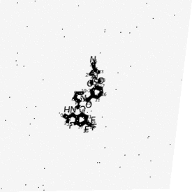 C=C(C)[C@@H](NC(=O)[C@H]1CCCN1C(=O)c1cccc(S(=O)(=O)N2CC(C#N)C2)c1)c1ccc(C(F)(F)F)cc1F